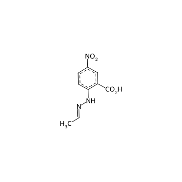 C/C=N/Nc1ccc([N+](=O)[O-])cc1C(=O)O